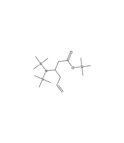 C=CCC(CC(=O)O[Si](C)(C)C)N([Si](C)(C)C)[Si](C)(C)C